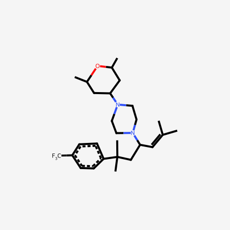 CC(C)=CC(CC(C)(C)c1ccc(C(F)(F)F)cc1)N1CCN(C2CC(C)OC(C)C2)CC1